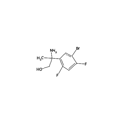 CC(N)(CO)c1cc(Br)c(F)cc1F